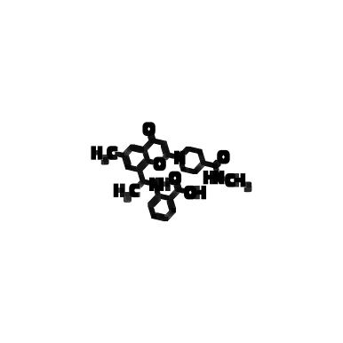 CNC(=O)C1CCN(c2cc(=O)c3cc(C)cc(C(C)Nc4ccccc4C(=O)O)c3o2)CC1